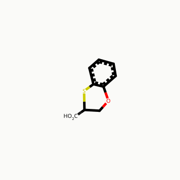 O=C(O)C1COc2ccccc2S1